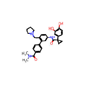 CN(C)C(=O)c1ccc(-c2cc(NC(=O)C3(c4ccc(O)c(O)c4)CC3)ccc2CN2CCCC2)cc1